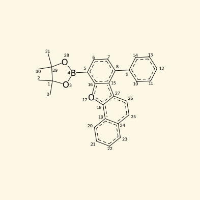 CC1(C)OB(c2ccc(-c3ccccc3)c3c2oc2c4ccccc4ccc23)OC1(C)C